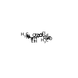 CC[C@H]1[C@@H](C(=O)Nc2cc3cc(C4CCN([C@@]5(C)COC[C@H]5F)CC4)c(Cl)cc3cn2)[C@@H]1c1cnn(C)c1